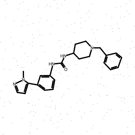 Cn1nccc1-c1cccc(NC(=O)NC2CCN(Cc3ccccc3)CC2)c1